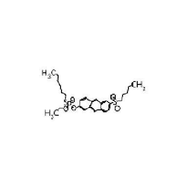 CCCCCCSP(=O)(OCC)Oc1ccc2cc3cc(S(=O)(=O)CCCCC)ccc3cc2c1